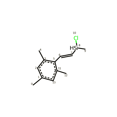 Cc1cc(C)c(C=C[SiH](C)Cl)c(C)c1